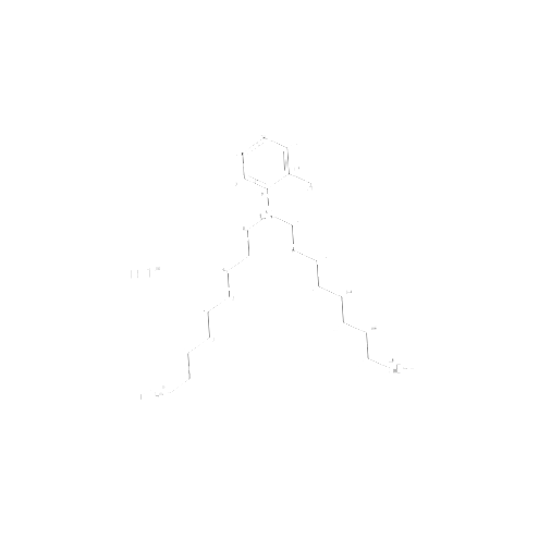 CCCCCCCCCCCCCCCCCCN(CCCCCCCCCCCCCCCCCC)c1ccccc1C.Cl